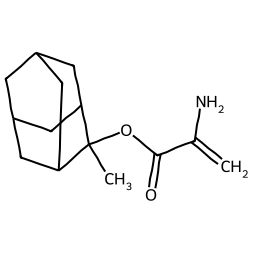 C=C(N)C(=O)OC1(C)C2CC3CC(C2)CC1C3